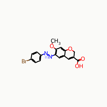 COc1cc2c(cc1/N=N/c1ccc(Br)cc1)C=C(C(=O)O)CO2